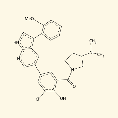 COc1ccccc1-c1c[nH]c2ncc(-c3cc(Cl)c(O)c(C(=O)N4CCC(N(C)C)C4)c3)cc12